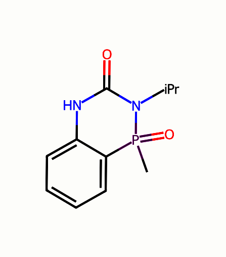 CC(C)N1C(=O)Nc2ccccc2P1(C)=O